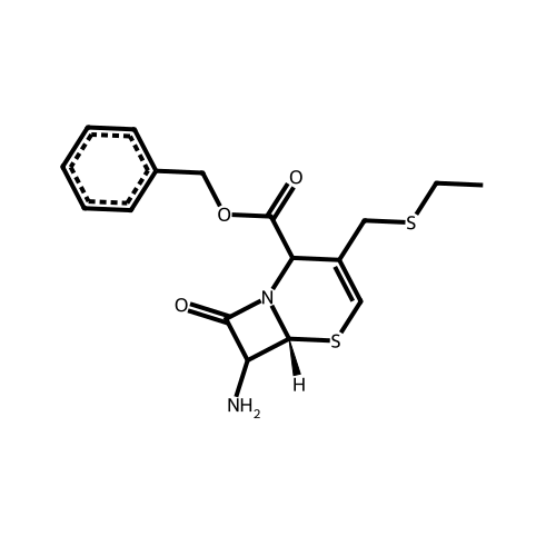 CCSCC1=CS[C@@H]2C(N)C(=O)N2C1C(=O)OCc1ccccc1